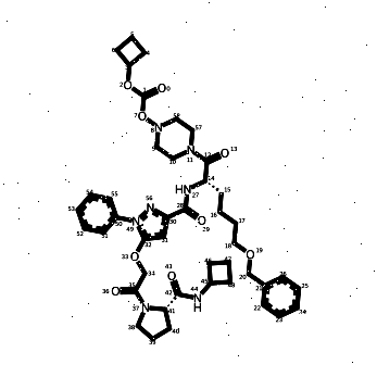 O=C(OC1CCC1)ON1CCN(C(=O)[C@H](CCCCOCc2ccccc2)NC(=O)c2cc(OCC(=O)N3CCC[C@H]3C(=O)NC3CCC3)n(-c3ccccc3)n2)CC1